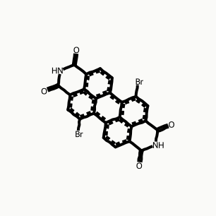 O=C1NC(=O)c2cc(Br)c3c4ccc5c6c(cc(Br)c(c7ccc1c2c73)c64)C(=O)NC5=O